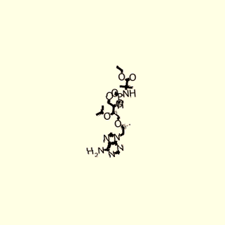 CCOC(=O)C(C)(C)N[PH](=O)OC(C=O)[C@@H](CO[C@H](C)Cn1cnc2c(N)ncnc21)OC(C)C